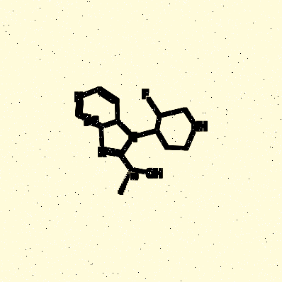 C[C@@H](O)C1=NC23SC=CC2=NC=CC3N1C1CCNCC1F